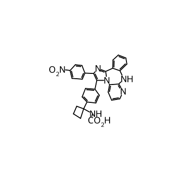 O=C(O)NC1(c2ccc(-c3c(-c4ccc([N+](=O)[O-])cc4)nc4n3-c3cccnc3Nc3ccccc3-4)cc2)CCC1